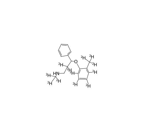 [2H]c1c([2H])c([2H])c(C([2H])([2H])[2H])c(OC(c2ccccc2)C([2H])([2H])CNC([2H])([2H])[2H])c1[2H]